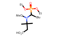 CCOP(=O)(OCC)C(N(OC)C(C)(C)CC(=O)O)C(C)(C)C